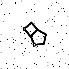 C1CC2COC2O1